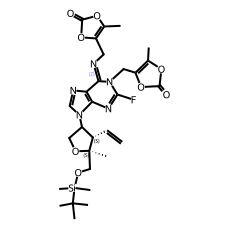 C=C[C@H]1C(n2cnc3/c(=N/Cc4oc(=O)oc4C)n(Cc4oc(=O)oc4C)c(F)nc32)CO[C@]1(C)CO[Si](C)(C)C(C)(C)C